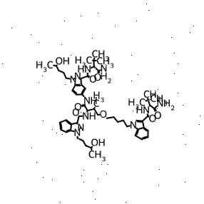 CC(O)CCCn1nc(C(=O)NC(C(=O)Nc2ccc3c(c2)c(C(=O)NC(C(N)=O)C(C)(C)C)nn3CCCC(C)O)C(C)COCCCCCn2cc(C(=O)NC(C(N)=O)C(C)(C)C)c3ccccc32)c2ccccc21